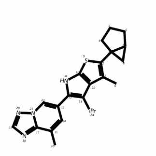 Cc1c(C23CCCC2C3)sc2[nH]c(-c3cc(C)c4ncnn4c3)c(C(C)C)c12